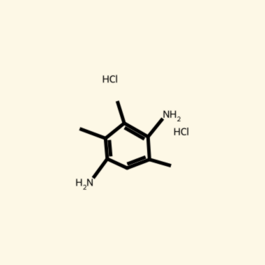 Cc1cc(N)c(C)c(C)c1N.Cl.Cl